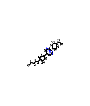 CCCCCc1ccc(-c2cnc([C@H]3CC[C@H](CC)CC3)nc2)cc1